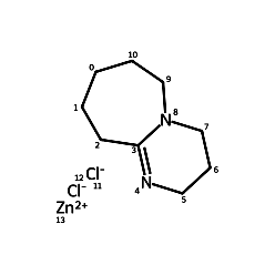 C1CCC2=NCCCN2CC1.[Cl-].[Cl-].[Zn+2]